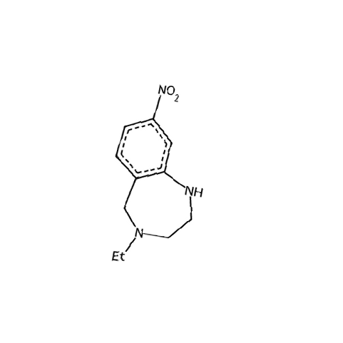 CCN1CCNc2cc([N+](=O)[O-])ccc2C1